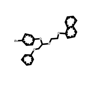 CCC(C)c1ccc(OC(COc2ccccc2)OCCOc2cccc3ccccc23)cc1